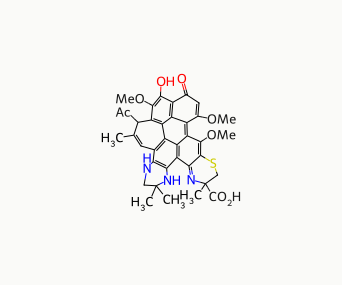 COC1=CC(=O)c2c(O)c(OC)c3c4c2c1c1c(OC)c2c(c5c6c(c(c4c15)C=C(C)C3C(C)=O)NCC(C)(C)N6)=NC(C)(C(=O)O)CS2